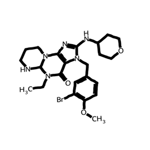 CCN1C(=O)c2c(nc(NC3CCOCC3)n2Cc2ccc(OC)c(Br)c2)N2CCCNC12